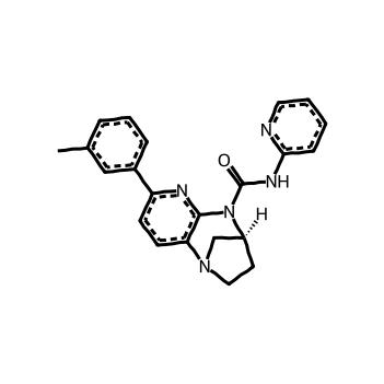 Cc1cccc(-c2ccc3c(n2)N(C(=O)Nc2ccccn2)[C@H]2CCN3C2)c1